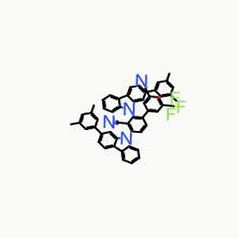 Cc1cc(C)cc(-c2ccc3c4ccccc4n(-c4ccc(-c5cc(C#N)cc(C(F)(F)F)c5)c(-n5c6ccccc6c6ccc(-c7cc(C)cc(C)c7)cc65)c4C#N)c3c2)c1